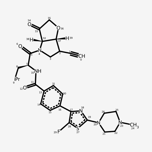 C#CC1CN(C(=O)[C@H](CC(C)C)NC(=O)c2ccc(-c3nc(N4CCN(C)CC4)sc3F)cc2)[C@@H]2C(=O)CO[C@H]12